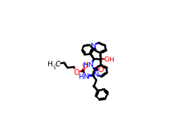 CCCCOC(=O)NC(CCc1ccccc1)C(=O)NC(c1ccccc1)C(O)(c1cccnc1)c1cccnc1